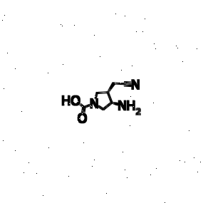 N#CC[C@@H]1CN(C(=O)O)C[C@@H]1N